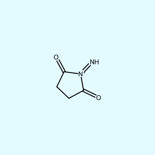 N=[N+]1C(=O)CCC1=O